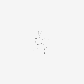 CC(C)Cc1ccc(N=C=O)c(CC(C)C)c1N=C=O